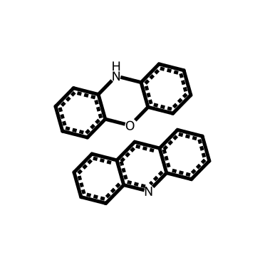 c1ccc2c(c1)Nc1ccccc1O2.c1ccc2nc3ccccc3cc2c1